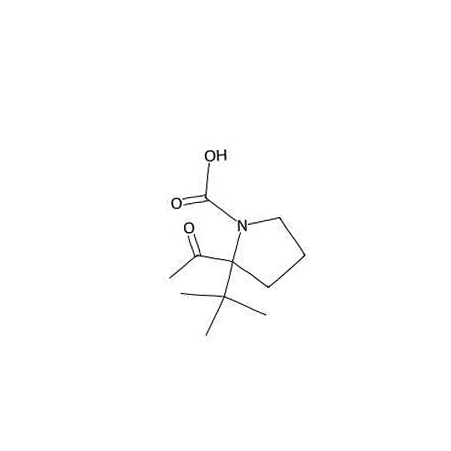 CC(=O)C1(C(C)(C)C)CCCN1C(=O)O